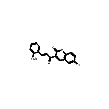 COc1ccccc1/C=C/C(=O)c1cc2cc(Br)ccc2oc1=O